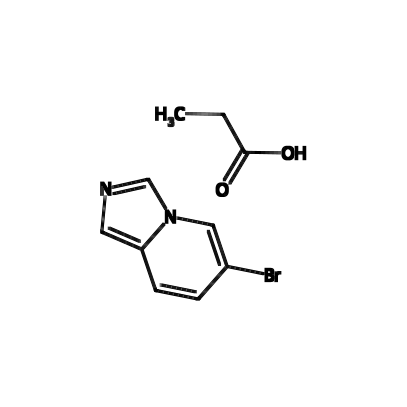 Brc1ccc2cncn2c1.CCC(=O)O